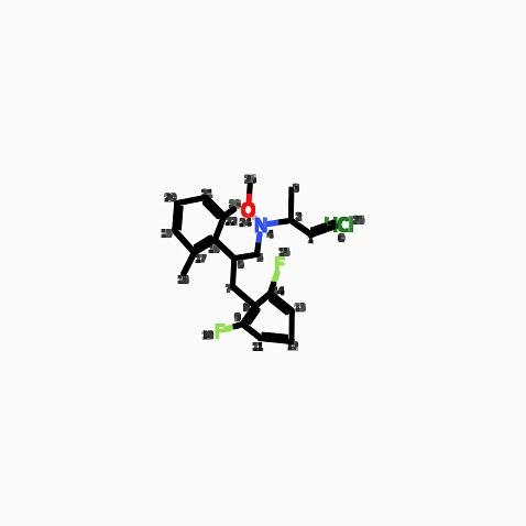 C=CC(C)N(CC(Cc1c(F)cccc1F)c1c(C)cccc1C)OC.Cl